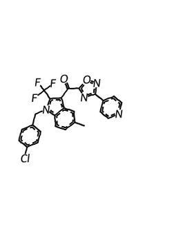 Cc1ccc2c(c1)c(C(=O)c1nc(-c3ccncc3)no1)c(C(F)(F)F)n2Cc1ccc(Cl)cc1